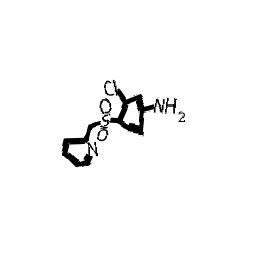 Nc1ccc(S(=O)(=O)Cc2ccccn2)c(Cl)c1